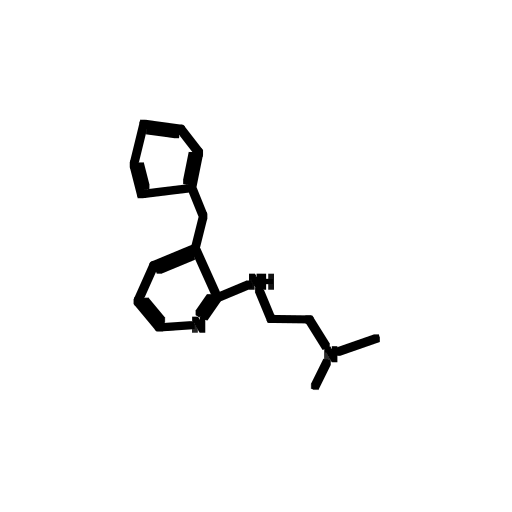 CN(C)CCNc1ncccc1Cc1ccccc1